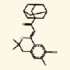 Cc1cc2c(cc1O)/C(=C/C(=O)C13CC4CC(CC(C4)C1)C3)NC(C)(C)C2